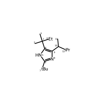 CCC(C)(C)c1[nH]c(C(C)(C)C)nc1C(C)C(C)C